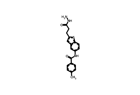 Cc1ccc(C(=O)Nc2ccc3sc(CCC(=O)NN)cc3c2)cc1